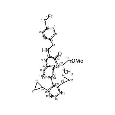 CCSc1ccc(CNc2nc3cnc(-c4c(C5CC5)ncnc4C4CC4)nc3n([C@@H](C)COC)c2=O)nc1